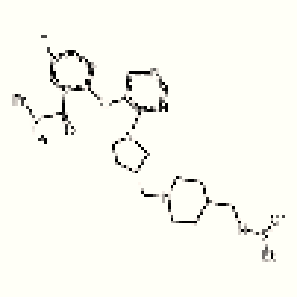 CC[S+]([O-])NCC1CCN(C[C@@H]2CCN(c3ncncc3Oc3ccc(F)cc3C(=O)N(C(C)C)C(C)C)C2)CC1